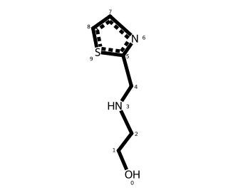 OCCNCc1nc[c]s1